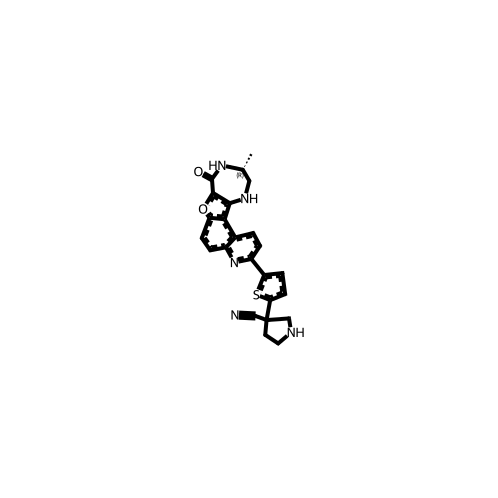 C[C@@H]1CNc2c(oc3ccc4nc(-c5ccc(C6(C#N)CCNC6)s5)ccc4c23)C(=O)N1